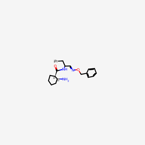 CC(C)CC(C=NOCc1ccccc1)NC(=O)[C@@H]1CCCC[C@@H]1N